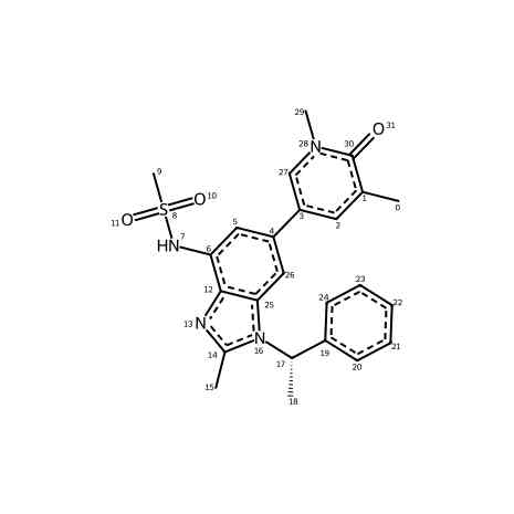 Cc1cc(-c2cc(NS(C)(=O)=O)c3nc(C)n([C@@H](C)c4ccccc4)c3c2)cn(C)c1=O